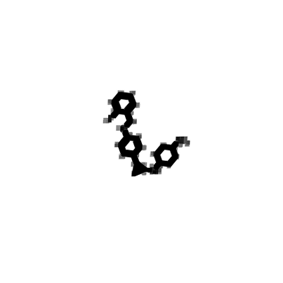 NC1CCC(N[C@H]2CC2c2ccc(OCc3ccccc3F)cc2)CC1